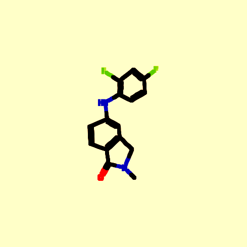 CN1Cc2cc(Nc3ccc(F)cc3F)ccc2C1=O